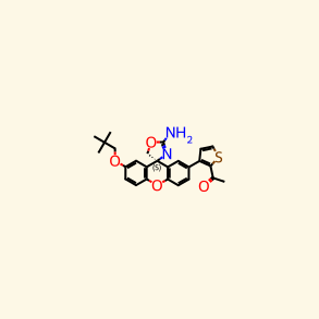 CC(=O)c1sccc1-c1ccc2c(c1)[C@@]1(COC(N)=N1)c1cc(OCC(C)(C)C)ccc1O2